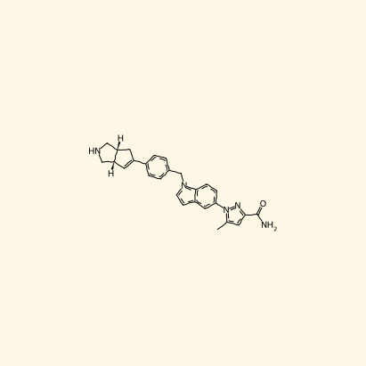 Cc1cc(C(N)=O)nn1-c1ccc2c(ccn2Cc2ccc(C3=C[C@@H]4CNC[C@@H]4C3)cc2)c1